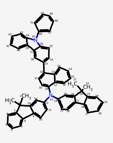 CC1(C)c2ccccc2-c2ccc(N(c3ccc4c(c3)C(C)(C)c3ccccc3-4)c3ccc(-c4ccc5c(c4)c4ccccc4n5-c4ccccc4)c4ccccc34)cc21